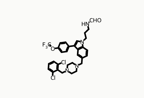 O=CNCCCn1cc(-c2ccc(OC(F)(F)F)cc2)c2cc(CN3CCN(Cc4c(Cl)cccc4Cl)CC3)ccc21